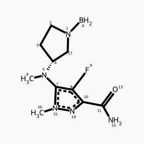 BN1CC[C@@H](N(C)c2c(F)c(C(N)=O)nn2C)C1